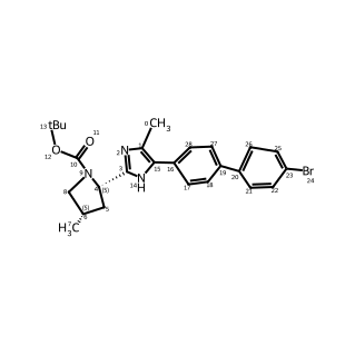 Cc1nc([C@@H]2C[C@H](C)CN2C(=O)OC(C)(C)C)[nH]c1-c1ccc(-c2ccc(Br)cc2)cc1